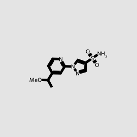 COC(C)c1ccnc(-n2cc(S(N)(=O)=O)cn2)c1